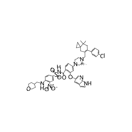 C[C@@H]1CN(c2ccc(C(=O)NS(=O)(=O)c3ccc(NCC4CCOCC4)c([N+](=O)[O-])c3)c(Oc3cnc4[nH]ccc4c3)c2)CCN1CC1=C(c2ccc(Cl)cc2)CC(C)(C)C2(CC2)C1